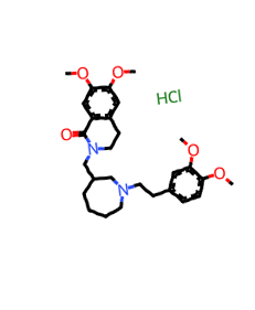 COc1ccc(CCN2CCCCC(CN3CCc4cc(OC)c(OC)cc4C3=O)C2)cc1OC.Cl